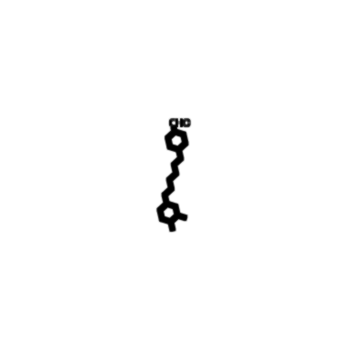 CC1CCC(CCCCCCC2CCC(C=O)CC2)CC1C